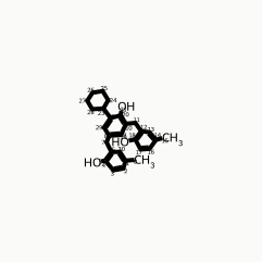 Cc1ccc(O)c(Cc2cc(Cc3cc(C)ccc3O)c(O)c(C3CCCCC3)c2)c1